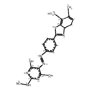 CC1=CCC2N=C(c3ccc(/N=N/c4c(O)nc(NC#N)nc4O)cc3)SC2=C1S(=O)(=O)O